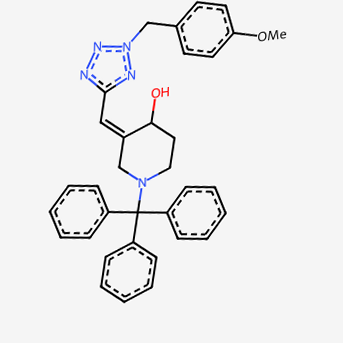 COc1ccc(Cn2nnc(C=C3CN(C(c4ccccc4)(c4ccccc4)c4ccccc4)CCC3O)n2)cc1